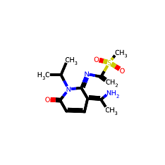 C=C(/N=C1\C(=C(\C)N)C=CC(=O)N1C(C)C)S(C)(=O)=O